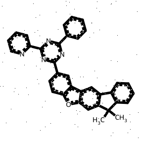 CC1(C)c2ccccc2-c2cc3c(cc21)oc1ccc(-c2nc(-c4ccccc4)nc(-c4ccccn4)n2)cc13